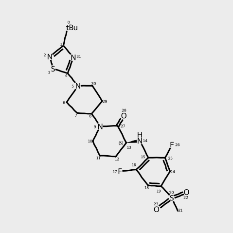 CC(C)(C)c1nsc(N2CCC(N3CCC[C@H](Nc4c(F)cc(S(C)(=O)=O)cc4F)C3=O)CC2)n1